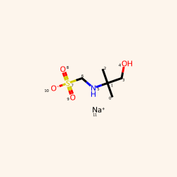 CC(C)(CO)NCS(=O)(=O)[O-].[Na+]